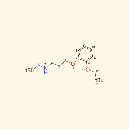 CC(C)(C)CNCCCOc1ccccc1OCC(C)(C)C